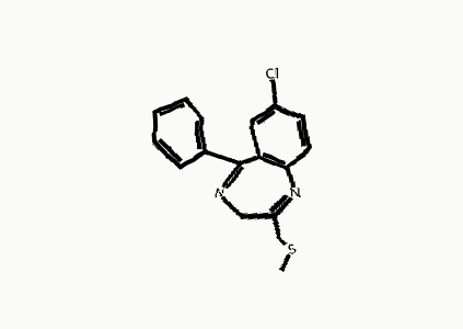 CSC1=Nc2ccc(Cl)cc2C(c2ccccc2)=NC1